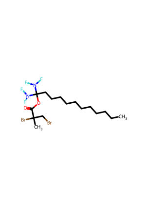 CCCCCCCCCCCC(OC(=O)C(C)(Br)CBr)(N(F)F)N(F)F